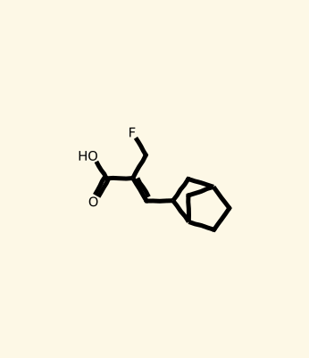 O=C(O)C(=CC1CC2CCC1C2)CF